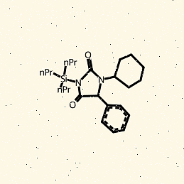 CCC[Si](CCC)(CCC)N1C(=O)C(c2ccccc2)N(C2CCCCC2)C1=O